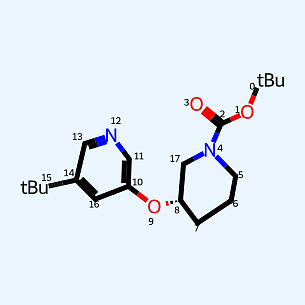 CC(C)(C)OC(=O)N1CCC[C@H](Oc2cncc(C(C)(C)C)c2)C1